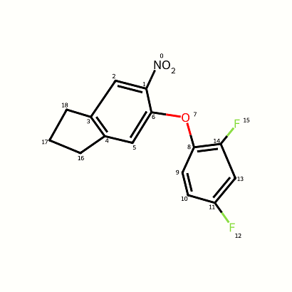 O=[N+]([O-])c1cc2c(cc1Oc1ccc(F)cc1F)CCC2